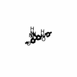 CCOc1ccc(-c2ccc(NC(=O)N3CCC(C)CC3)cc2-c2nn[nH]n2)cc1